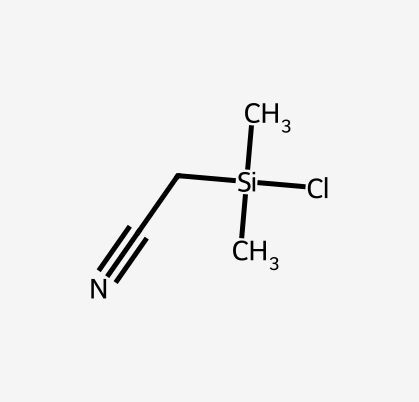 C[Si](C)(Cl)CC#N